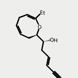 C#C/C=C/C[C@@H](O)[C@H]1C/C=C\C/C=C(/CC)O1